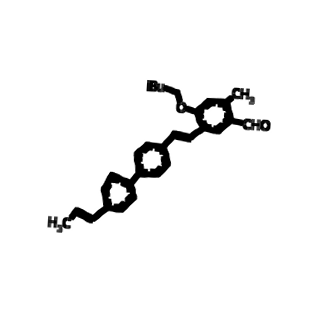 C/C=C/c1ccc(-c2ccc(/C=C/c3cc(C=O)c(C)cc3OCC(C)CC)cc2)cc1